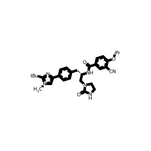 CC(C)Oc1ccc(C(=O)N[C@@H](Cc2ccc(-c3cn(C)c(C(C)(C)C)n3)cc2)CN2CCNC2=O)cc1C#N